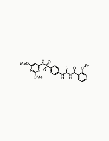 CCOc1ccccc1C(=O)NC(=S)Nc1ccc(S(=O)(=O)Nc2cc(OC)nc(OC)n2)cc1